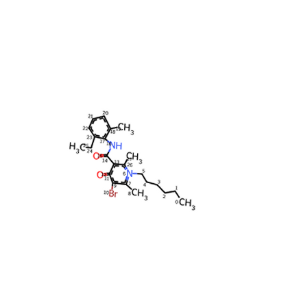 CCCCCCn1c(C)c(Br)c(=O)c(C(=O)Nc2c(C)cccc2CC)c1C